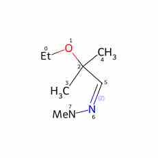 CCOC(C)(C)/C=N\NC